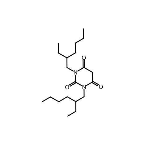 CCCCC(CC)CN1C(=O)CC(=O)N(CC(CC)CCCC)C1=O